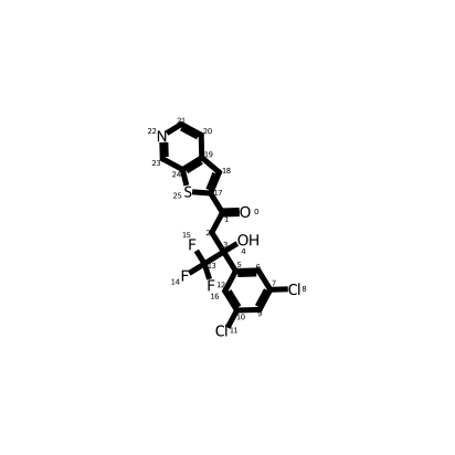 O=C(CC(O)(c1cc(Cl)cc(Cl)c1)C(F)(F)F)c1cc2ccncc2s1